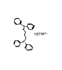 [Cl-].[Cl-].[Ni+2].c1ccc(P(CCCCP(c2ccccc2)c2ccccc2)c2ccccc2)cc1